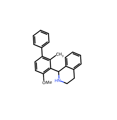 COc1ccc(-c2ccccc2)c(C)c1C1NCCc2ccccc21